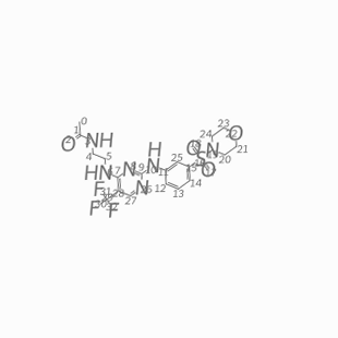 CC(=O)NCCNc1nc(Nc2cccc(S(=O)(=O)N3CCOCC3)c2)ncc1C(F)(F)F